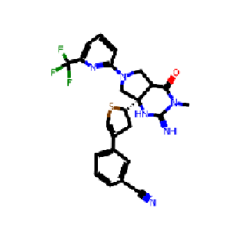 CN1C(=N)N[C@@]2(C3CC(c4cccc(C#N)c4)=CS3)CN(c3cccc(C(F)(F)F)n3)CC2C1=O